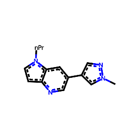 CCCn1ccc2ncc(-c3cnn(C)c3)cc21